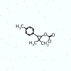 Cc1ccc(C2C(OC(=O)Cl)C2(C)C)cc1